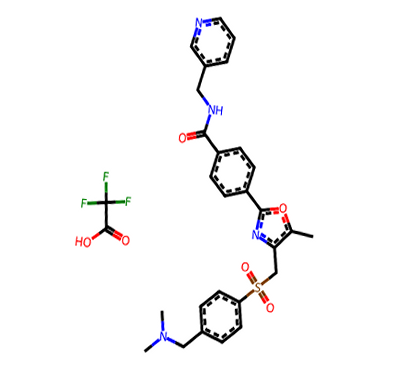 Cc1oc(-c2ccc(C(=O)NCc3cccnc3)cc2)nc1CS(=O)(=O)c1ccc(CN(C)C)cc1.O=C(O)C(F)(F)F